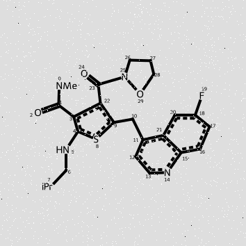 CNC(=O)c1c(NCC(C)C)sc(Cc2ccnc3ccc(F)cc23)c1C(=O)N1CCCO1